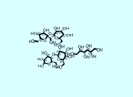 OC[C@@H](O)[C@@H](O)[C@H](O)[C@H](O)CO.OC[C@H]1O[C@@H](O[C@H]2[C@H](O)[C@@H](O)[C@H](O)O[C@@H]2CO)[C@H](O)[C@@H](O)[C@H]1O.OC[C@H]1O[C@@](CO)(O[C@H]2O[C@H](CO)[C@@H](O)[C@H](O)[C@H]2O)[C@@H](O)[C@@H]1O